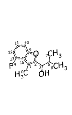 Cc1c(C(O)C(C)C)oc2cccc(F)c12